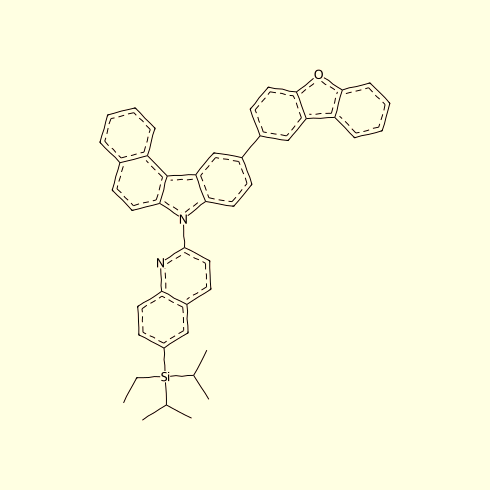 CC[Si](c1ccc2nc(-n3c4ccc(-c5ccc6oc7ccccc7c6c5)cc4c4c5ccccc5ccc43)ccc2c1)(C(C)C)C(C)C